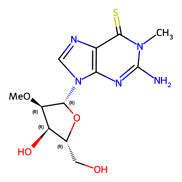 CO[C@@H]1[C@H](O)[C@@H](CO)O[C@H]1n1cnc2c(=S)n(C)c(N)nc21